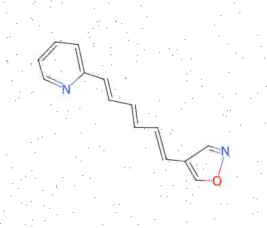 C(=CC=Cc1ccccn1)C=Cc1cnoc1